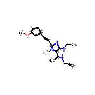 C#CCNC(=C)c1c(NCC)nc(C#Cc2cccc(OC)c2)n1C